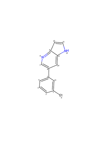 CCc1cccc(-c2cnc3cc[nH]c3c2)c1